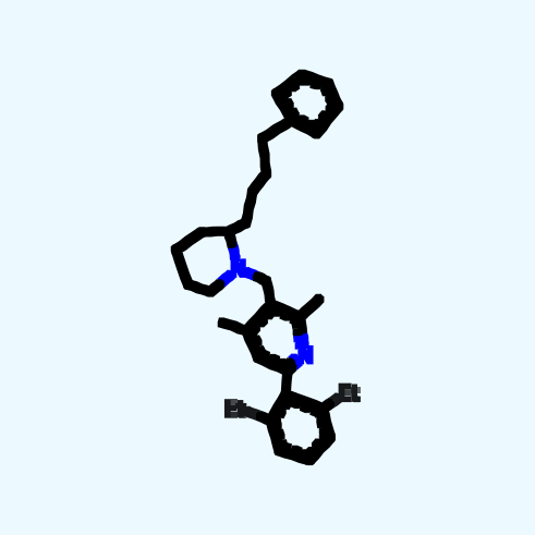 CCc1cccc(CC)c1-c1cc(C)c(CN2CCCCC2CCCCc2ccccc2)c(C)n1